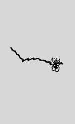 C=CCOC1=C(O)[C@H](CCC=CCCCCCCCCCCCCCC)OC1=O